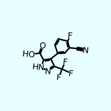 N#Cc1cc(-c2c(C(F)(F)F)n[nH]c2C(=O)O)ccc1F